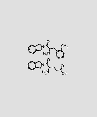 Cc1ccccc1CC(N)C(=O)N1Cc2ccccc2C1.NC(CCC(=O)O)C(=O)N1Cc2ccccc2C1